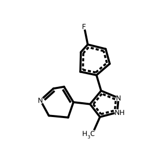 Cc1[nH]nc(-c2ccc(F)cc2)c1C1=CC=NCC1